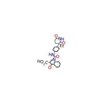 CCC1(c2ccc(NC(=O)n3cc(C(=O)O)c(=O)c4ccccc43)cc2)CCC(=O)NC1=O